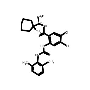 Cc1cccc(C)c1NC(=O)Nc1cc(Cl)c(Cl)cc1C(=O)N[C@H](C(=O)O)C1(C)CCCCC1